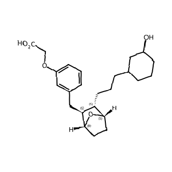 O=C(O)COc1cccc(C[C@H]2[C@H](CCCC3CCCC(O)C3)[C@@H]3CC[C@H]2O3)c1